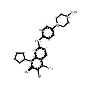 CC(=O)c1c(C)c2cnc(Nc3ccc(N4CCN(C=O)CC4)cn3)nc2n(C2CCCC2)c1=O